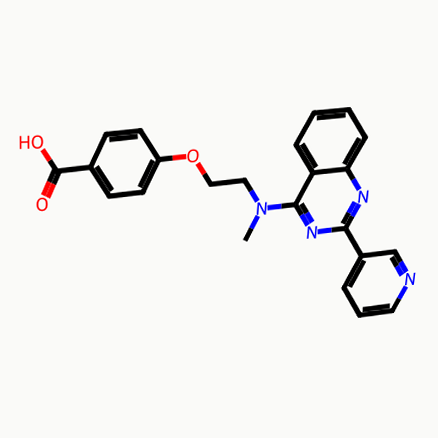 CN(CCOc1ccc(C(=O)O)cc1)c1nc(-c2cccnc2)nc2ccccc12